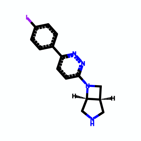 Ic1ccc(-c2ccc(N3C[C@H]4CNC[C@H]43)nn2)cc1